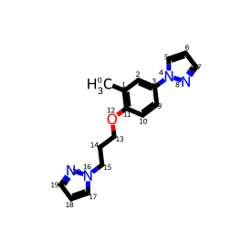 Cc1cc(-n2cccn2)ccc1OCCCn1cccn1